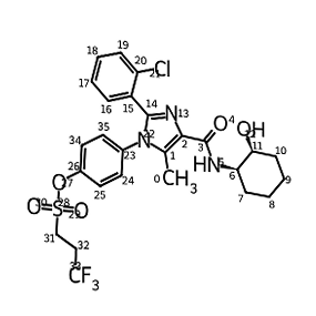 Cc1c(C(=O)N[C@@H]2CCCC[C@@H]2O)nc(-c2ccccc2Cl)n1-c1ccc(OS(=O)(=O)CCC(F)(F)F)cc1